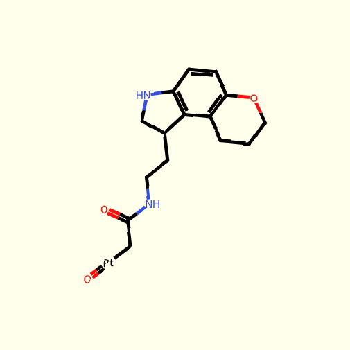 [O]=[Pt][CH2]C(=O)NCCC1CNc2ccc3c(c21)CCCO3